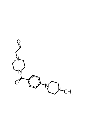 CN1CCN(c2ccc(C(=O)N3CCN(C[C]=O)CC3)cc2)CC1